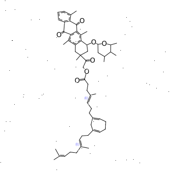 CC(C)=CCC/C(C)=C/CCC1=CCCC=C(CC/C=C(\C)CCC(=O)OCC(=O)C2(C)Cc3c(C)c4c(c(C)c3C(OC3CC(C)C(C)C(C)O3)C2)C(=O)c2c(C)cccc2C4=O)C1